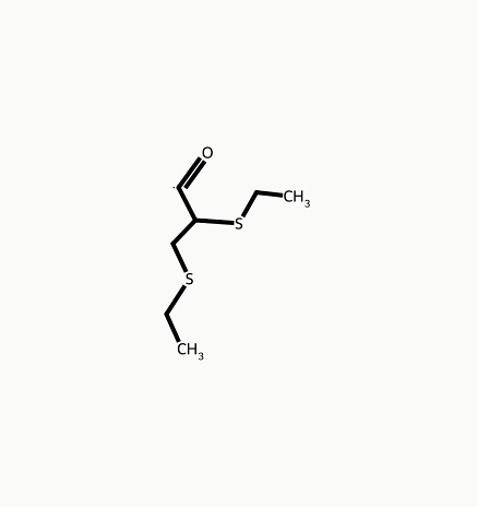 CCSCC([C]=O)SCC